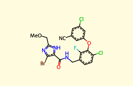 COCc1nc(Br)c(C(=O)NCc2ccc(Cl)c(Oc3cc(Cl)cc(C#N)c3)c2F)[nH]1